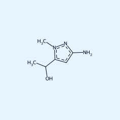 CC(O)c1cc(N)nn1C